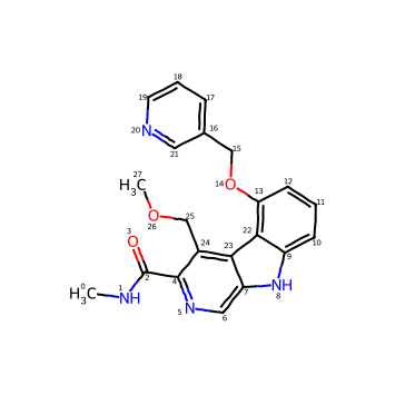 CNC(=O)c1ncc2[nH]c3cccc(OCc4cccnc4)c3c2c1COC